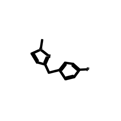 Cn1c[c]c(Cc2ccc(F)cc2)n1